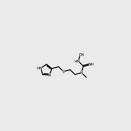 CN(CCSCc1c[nH]cn1)C(=N)NC#N